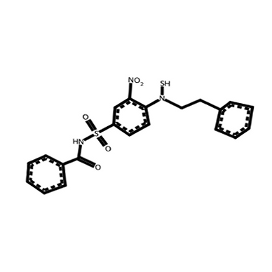 O=C(NS(=O)(=O)c1ccc(N(S)CCc2ccccc2)c([N+](=O)[O-])c1)c1ccccc1